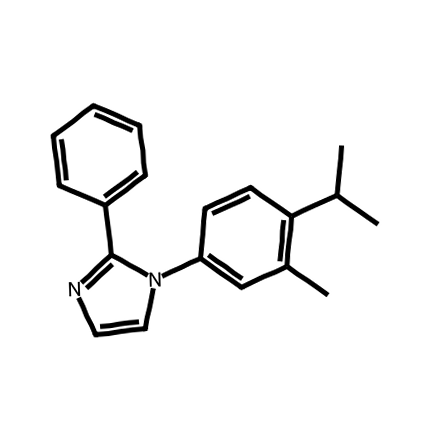 Cc1cc(-n2ccnc2-c2ccccc2)ccc1C(C)C